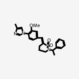 COc1cc(/C=C2\CCCN(C(C)c3ccccc3)S2(=O)=O)ccc1-n1cnc(C)c1